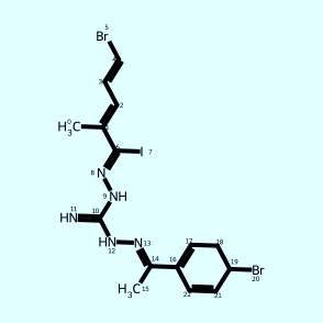 CC(=C\C=C\Br)/C(I)=N/NC(=N)N/N=C(\C)C1=CCC(Br)C=C1